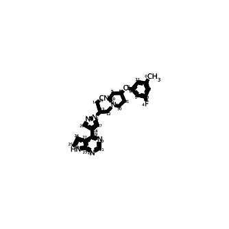 Cc1cc(F)cc(OC2CCN(CC(CC#N)n3cc(-c4ncnc5[nH]ccc45)cn3)CC2)c1